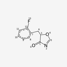 O=C1N=COC1Cc1ccccc1F